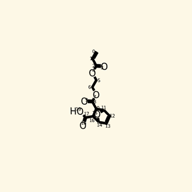 C=CC(=O)OCCOC(=O)C1C2C=CC(O2)C1C(=O)O